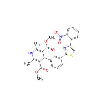 COC(=O)C1=C(C)NC(C)=C(C(=O)OC)C1c1cccc(-c2nc(-c3ccccc3[N+](=O)[O-])cs2)c1